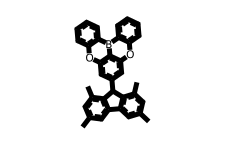 Cc1cc(C)c2c(c1)-c1cc(C)cc(C)c1C2c1cc2c3c(c1)Oc1ccccc1B3c1ccccc1O2